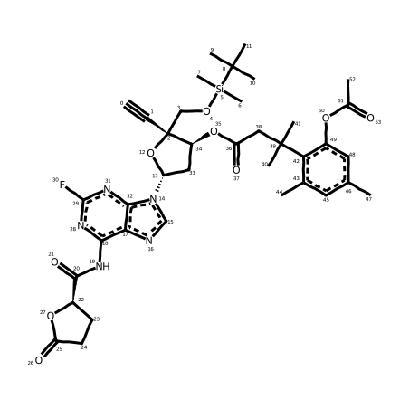 C#C[C@]1(CO[Si](C)(C)C(C)(C)C)O[C@@H](n2cnc3c(NC(=O)[C@H]4CCC(=O)O4)nc(F)nc32)C[C@@H]1OC(=O)CC(C)(C)c1c(C)cc(C)cc1OC(C)=O